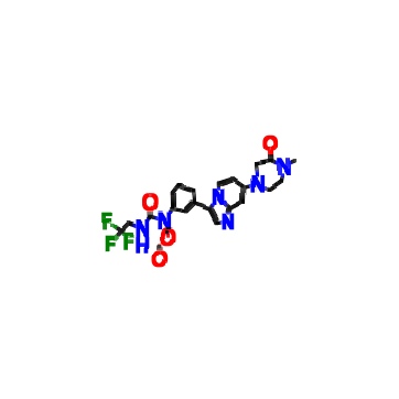 CN1CCN(c2ccn3c(-c4cccc(N(OC=O)C(=O)NCC(F)(F)F)c4)cnc3c2)CC1=O